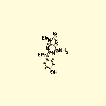 CCN(c1ccc(O)cc1)c1nc(N)c2nc(Br)n(CC)c2n1